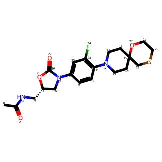 CC(=O)NC[C@H]1CN(c2ccc(N3CCC4(CC3)CSCCO4)c(F)c2)C(=O)O1